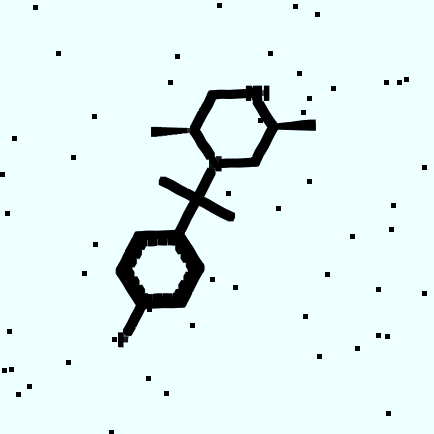 C[C@@H]1CN[C@@H](C)CN1C(C)(C)c1ccc(F)cc1